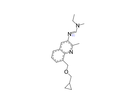 CCN(C)/C=N/c1cc2cccc(COCC3CC3)c2nc1C